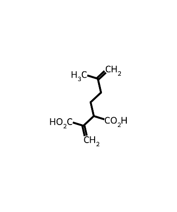 C=C(C)CCC(C(=C)C(=O)O)C(=O)O